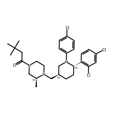 C[C@H]1CN(C(=O)CC(C)(C)C)CCN1C[C@@H]1CC[C@@H](c2ccc(Cl)cc2Cl)N(c2ccc(Cl)cc2)C1